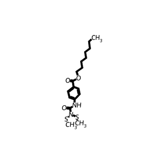 CCCCCCCCOC(=O)c1ccc(NC(=O)N(SC)SC)cc1